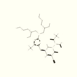 CCCCC(CC)CN(CC(CC)CCCC)c1nc(C(C)(C)C)c(/C=C2/C(C)=C(C#N)C(=O)N(N(C(C)=O)C(=O)C(C)(C)C)C2O)s1